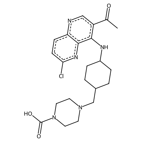 CC(=O)c1cnc2ccc(Cl)nc2c1NC1CCC(CN2CCN(C(=O)O)CC2)CC1